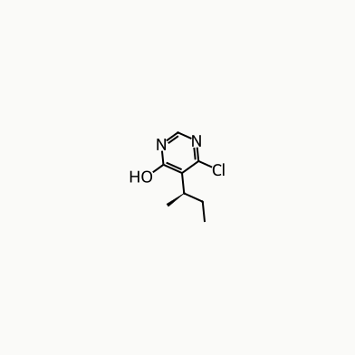 CC[C@@H](C)c1c(O)ncnc1Cl